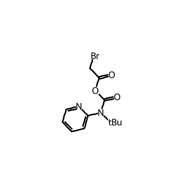 CC(C)(C)N(C(=O)OC(=O)CBr)c1ccccn1